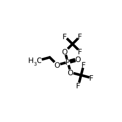 CCOP(=O)(OC(F)(F)F)OC(F)(F)F